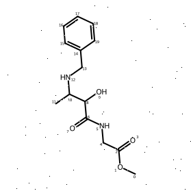 COC(=O)CNC(=O)C(O)C(C)NCc1ccccc1